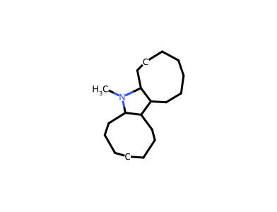 CN1C2CCCCCCCC2C2CCCCCCCC21